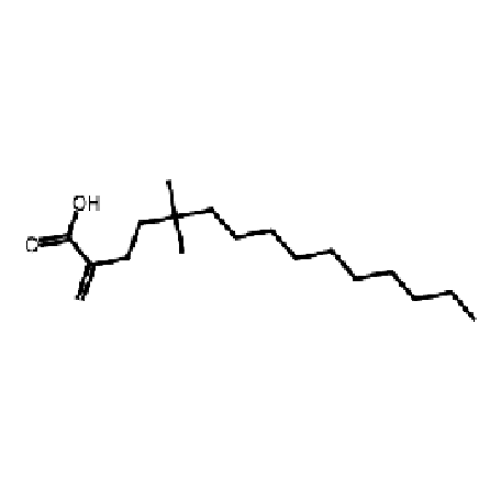 C=C(CCC(C)(C)CCCCCCCCCC)C(=O)O